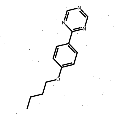 CCCCOc1ccc(-c2ncncn2)cc1